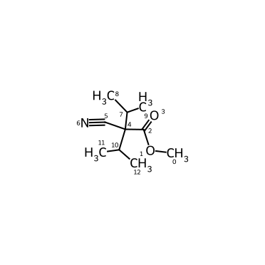 COC(=O)C(C#N)(C(C)C)C(C)C